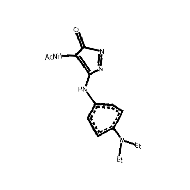 CCN(CC)c1ccc(NC2=C(NC(C)=O)C(=O)N=N2)cc1